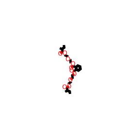 CC=C(C)C(=O)OCCOCCOC(=O)c1ccccc1C(=O)OCCOCCOC(=O)C(C)=CC